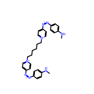 CNc1ccc(/N=N\c2cc[n+](CCCCCC[n+]3ccc(/N=N\c4ccc(NC)cc4)cc3)cc2)cc1